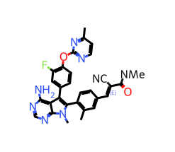 CNC(=O)/C(C#N)=C/c1ccc(-c2c(-c3ccc(Oc4nccc(C)n4)c(F)c3)c3c(N)ncnc3n2C)c(C)c1